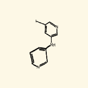 Ic1cncc(Nc2cccnc2)c1